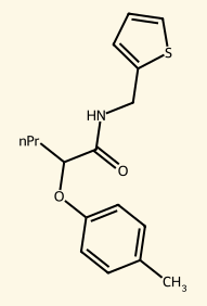 CCCC(Oc1ccc(C)cc1)C(=O)NCc1cccs1